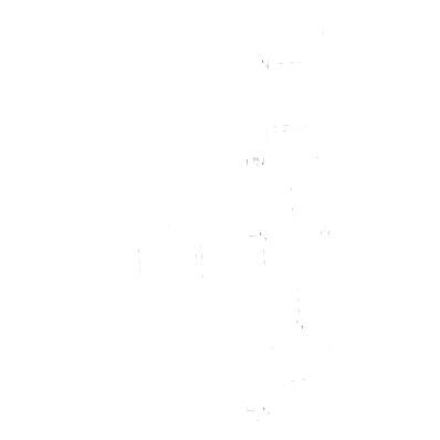 N[C@H]1CCN(C(=O)[C@H](Cc2ccc(F)cc2)NC(=O)c2cc3cc(Cl)ncc3[nH]2)C1